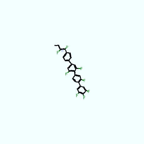 CC/C(F)=C(\F)c1ccc(-c2cc(F)c(-c3ccc(-c4cc(F)c(F)c(F)c4)c(F)c3)c(F)c2)cc1